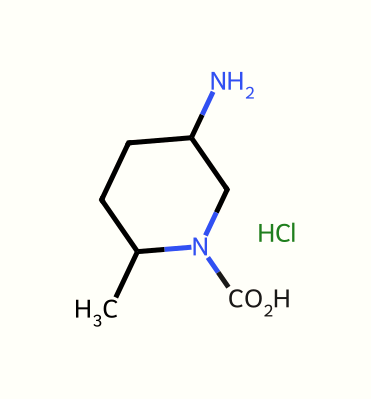 CC1CCC(N)CN1C(=O)O.Cl